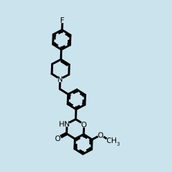 COc1cccc2c1OC(c1cccc(CN3CC=C(c4ccc(F)cc4)CC3)c1)NC2=O